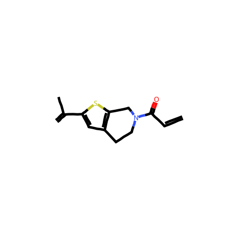 C=CC(=O)N1CCc2cc(C(=C)C)sc2C1